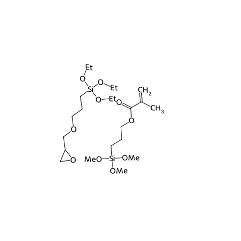 C=C(C)C(=O)OCCC[Si](OC)(OC)OC.CCO[Si](CCCOCC1CO1)(OCC)OCC